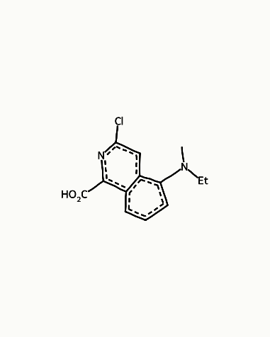 CCN(C)c1cccc2c(C(=O)O)nc(Cl)cc12